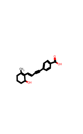 CC1=C(/C=C/C#Cc2ccc(C(=O)O)cc2)C(O)CCC1